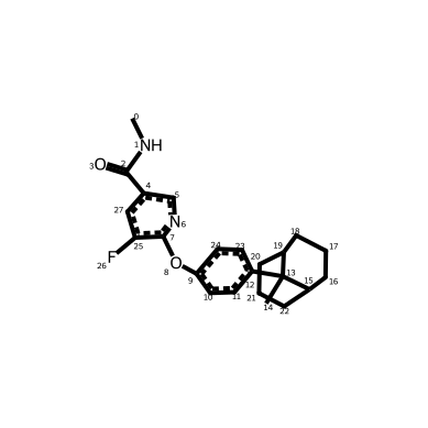 CNC(=O)c1cnc(Oc2ccc(C3(C)C4CCCC3CCC4)cc2)c(F)c1